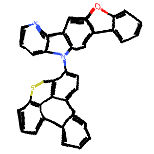 c1ccc2c(c1)oc1cc3c4ncccc4n(-c4ccc5c6ccccc6c6cccc7sc4c5c76)c3cc12